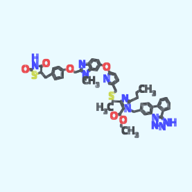 CCCc1nc(C(C)SCc2ccc(Oc3ccc4nc(COc5ccc(CC6SC(=O)NC6=O)cc5)n(C)c4c3)nc2)c(C(=O)OCC)n1Cc1ccc(-c2ccccc2-c2nnn[nH]2)cc1